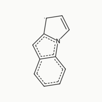 [CH]1C=Cn2c1cc1ccccc12